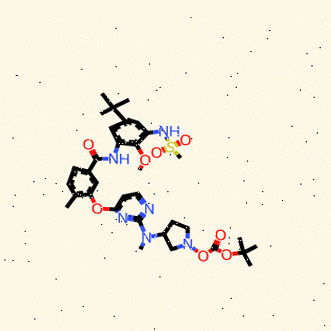 COc1c(NC(=O)c2ccc(C)c(Oc3ccnc(N(C)C4CCN(OC(=O)OC(C)(C)C)C4)n3)c2)cc(C(C)(C)C)cc1NS(C)(=O)=O